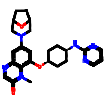 Cn1c(=O)cnc2cc(N3CC4CCC(C3)O4)cc(O[C@H]3CC[C@@H](Nc4ncccn4)CC3)c21